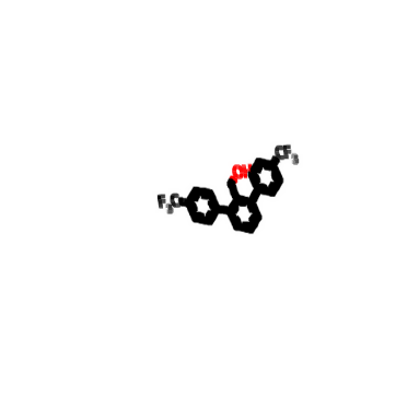 OCc1c(-c2ccc(C(F)(F)F)cc2)cccc1-c1ccc(C(F)(F)F)cc1